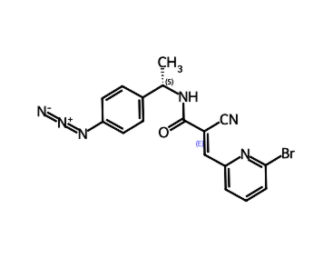 C[C@H](NC(=O)/C(C#N)=C/c1cccc(Br)n1)c1ccc(N=[N+]=[N-])cc1